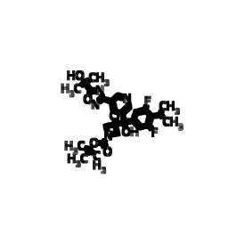 CC(C)c1c(F)cc(C(O)(c2cncc(-c3noc(C(C)(C)O)n3)c2)C2(C)CN(C(=O)OC(C)(C)C)C2)cc1F